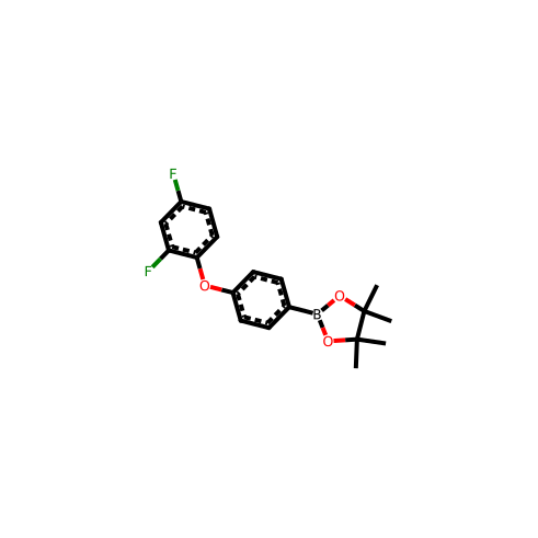 CC1(C)OB(c2ccc(Oc3ccc(F)cc3F)cc2)OC1(C)C